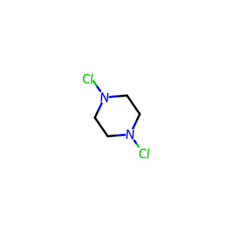 ClN1CCN(Cl)CC1